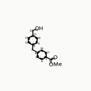 COC(=O)c1ccc(Cc2ccc(CO)cc2)cc1